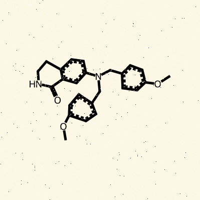 COc1ccc(CN(Cc2ccc(OC)cc2)c2ccc3c(c2)C(=O)NCC3)cc1